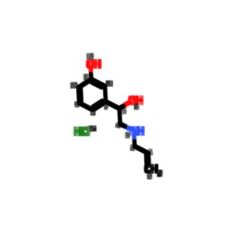 C=CCNCC(O)c1cccc(O)c1.Cl